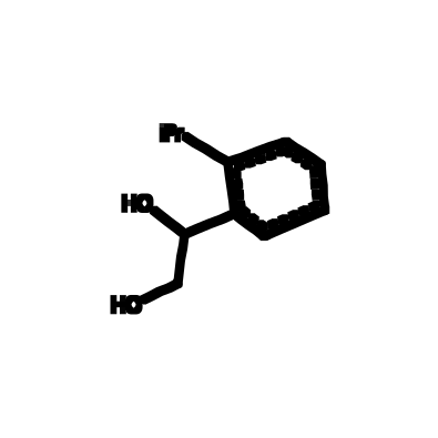 CC(C)c1ccccc1C(O)CO